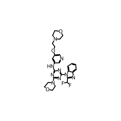 FC(F)c1nc2ccccc2n1-c1nc(Nc2cncc(OCCN3CCOCC3)c2)nc(N2CCOCC2)n1